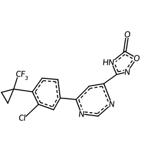 O=c1[nH]c(-c2cc(-c3ccc(C4(C(F)(F)F)CC4)c(Cl)c3)ncn2)no1